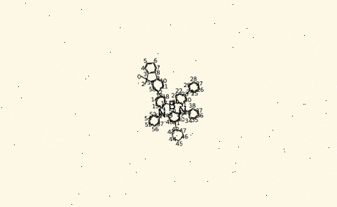 CC1(C)c2ccccc2-c2ccc(-c3ccc4c(c3)B3c5ccc(-c6ccccc6)cc5N(c5ccccc5)c5cc(C6CCCCC6)cc(c53)N4c3ccccc3)cc21